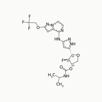 CC(C)NC(=O)O[C@H]1CO[C@@H](c2cc(Nc3nccn4nc(OCC(F)(F)F)cc34)n[nH]2)[C@@H]1F